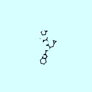 COC(=O)C(C[C@@H]1CCNC1=O)NC(=O)C(CC1CC1)NC(=O)c1cc2c([nH]1)CCCC2